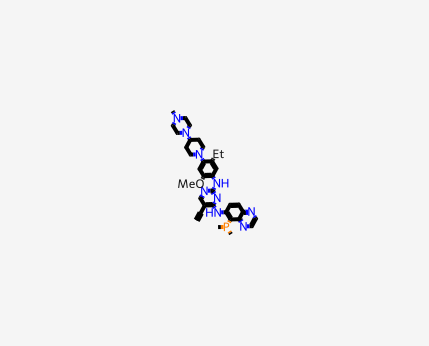 C#Cc1cnc(Nc2cc(CC)c(N3CCC(N4CCN(C)CC4)CC3)cc2OC)nc1Nc1ccc2nccnc2c1P(C)C